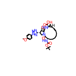 COc1ccc(-n2nnc([C@@H]3C[C@H]4C(=O)N[C@]5(C(=O)O)C[C@H]5/C=C\CCCCC[C@H](NC(=O)OC(C)(C)C)C(=O)N4C3)n2)cc1